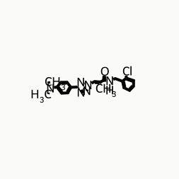 C/C(=C\n1nnc(-c2ccc(N(C)C)cc2)n1)C(=O)NCc1ccccc1Cl